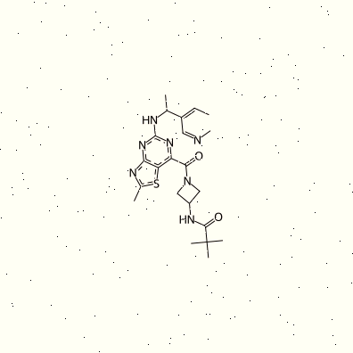 C/C=C(\C=N/C)C(C)Nc1nc(C(=O)N2CC(NC(=O)C(C)(C)C)C2)c2sc(C)nc2n1